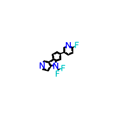 Fc1ccc(-c2ccc3c4cnccc4n(C(F)F)c3c2)cn1